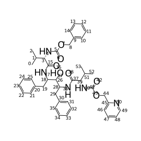 CC(C)[C@H](NC(=O)OCc1ccccc1)C(=O)NC(Cc1ccccc1)C(O)C(Cc1ccccc1)NC(=O)[C@@H](NC(=O)OCc1ccccn1)C(C)C